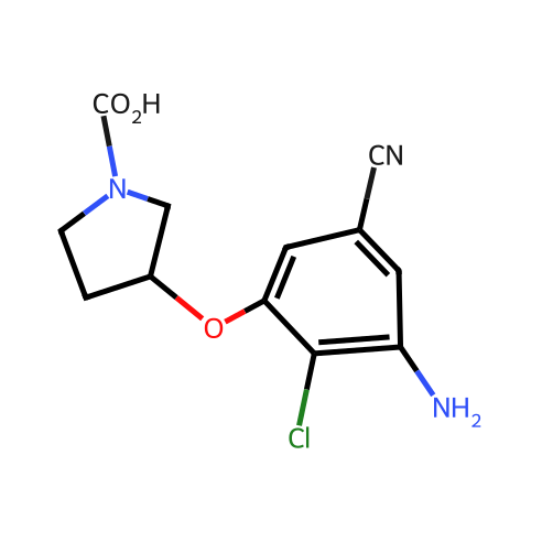 N#Cc1cc(N)c(Cl)c(OC2CCN(C(=O)O)C2)c1